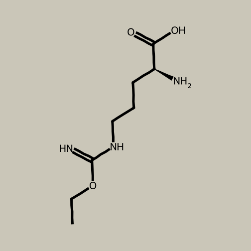 CCOC(=N)NCCC[C@H](N)C(=O)O